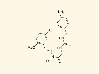 C=C(CNC(=O)NCc1ccc(N)cc1)N(CC)OCc1cc(C(C)=O)ccc1OC